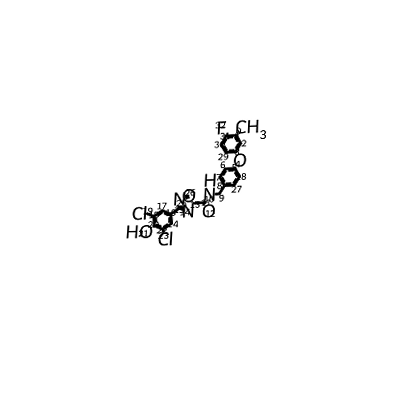 Cc1cc(Oc2ccc(CNC(=O)c3nc(-c4cc(Cl)c(O)c(Cl)c4)no3)cc2)ccc1F